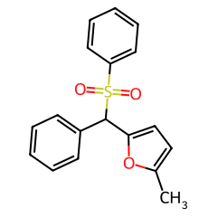 Cc1ccc(C(c2ccccc2)S(=O)(=O)c2ccccc2)o1